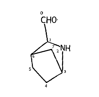 O=[C]C1NC2CCC1C2